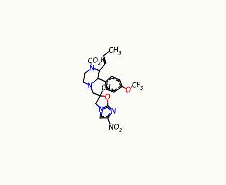 CC=CC1C(c2ccc(OC(F)(F)F)cc2)N(CC2(C)Cn3cc([N+](=O)[O-])nc3O2)CCN1C(=O)O